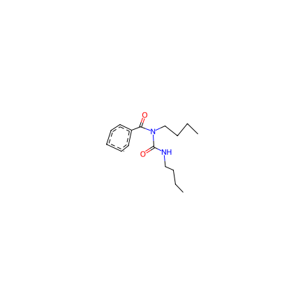 CCCCNC(=O)N(CCCC)C(=O)c1c[c]ccc1